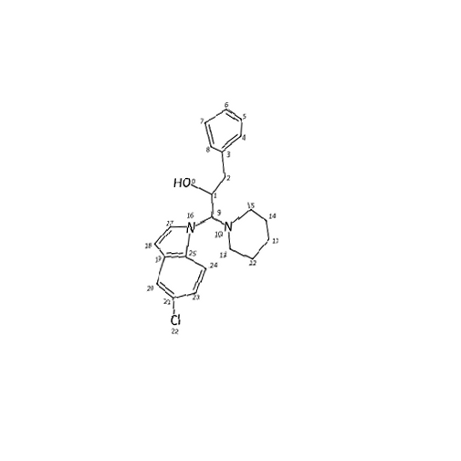 OC(Cc1ccccc1)C(N1CCCCC1)n1ccc2cc(Cl)ccc21